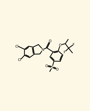 CC(Oc1ccc(S(C)(=O)=O)cc1C(=O)N1Cc2cc(Cl)c(Cl)cc2C1)C(C)(F)F